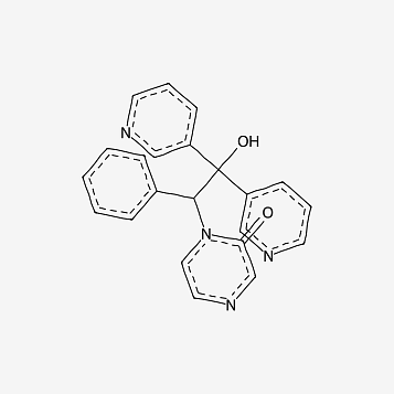 O=c1cnccn1C(c1ccccc1)C(O)(c1cccnc1)c1cccnc1